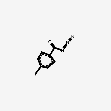 [N-]=[N+]=NC(=O)c1ccc(I)cc1